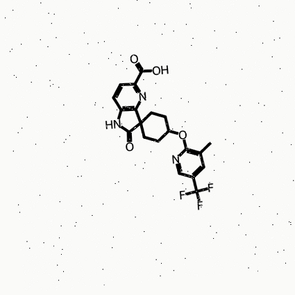 Cc1cc(C(F)(F)F)cnc1OC1CCC2(CC1)C(=O)Nc1ccc(C(=O)O)nc12